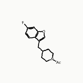 CC(=O)N1CCC(Cc2coc3cc(F)ccc23)CC1